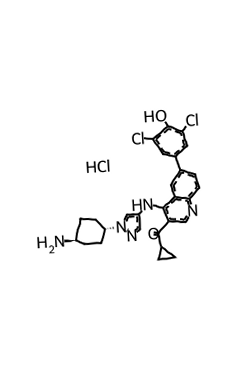 Cl.N[C@H]1CC[C@H](n2cc(Nc3c(C(=O)C4CC4)cnc4ccc(-c5cc(Cl)c(O)c(Cl)c5)cc34)cn2)CC1